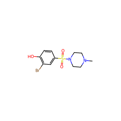 CN1CCN(S(=O)(=O)c2ccc(O)c(Br)c2)CC1